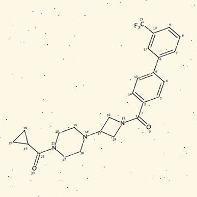 O=C(c1ccc(-c2cccc(C(F)(F)F)c2)cc1)N1CC(N2CCN(C(=O)C3CC3)CC2)C1